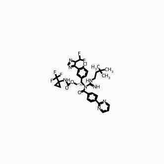 CC(C)(C)CCNC(=N)N(C(=O)c1ccc(-c2ncccn2)cc1)[C@H](COC(=O)NC1(C(F)(F)F)CC1)c1ccc(Cl)c(C2=NC=NC2C(F)F)c1